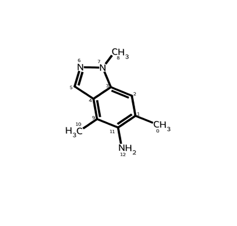 Cc1cc2c(cnn2C)c(C)c1N